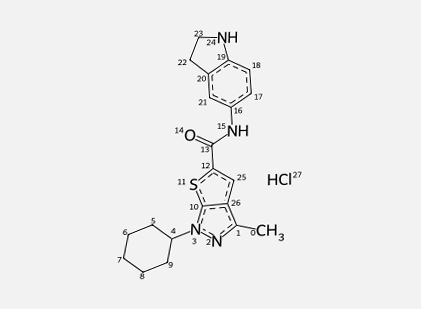 Cc1nn(C2CCCCC2)c2sc(C(=O)Nc3ccc4c(c3)CCN4)cc12.Cl